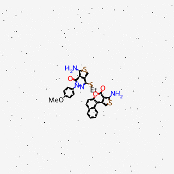 CCSc1nn(-c2ccc(OC)cc2)c(=O)c2c(N)scc12.Nc1scc2c1c(=O)oc1ccc3ccccc3c12